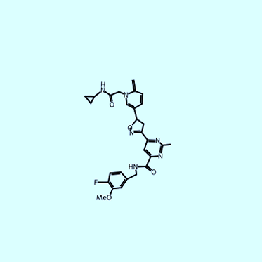 C=C1C=CC(C2CC(c3cc(C(=O)NCc4ccc(F)c(OC)c4)nc(C)n3)=NO2)=CN1CC(=O)NC1CC1